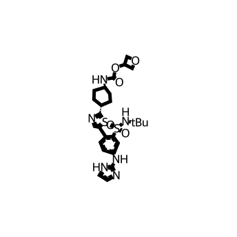 CC(C)(C)NS(=O)(=O)c1cc(Nc2ncc[nH]2)ccc1-c1cnc([C@H]2CC[C@H](NC(=O)OC3COC3)CC2)s1